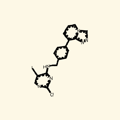 Clc1ncc(I)c(NCc2ccc(-c3cccn4cnnc34)cc2)n1